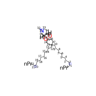 CCC/C=C\CCCCCCCCC1(CCCCCCCC/C=C\CCC)CCC2(CC1)O[C@H]1CN(C)CC[C@H]1O2